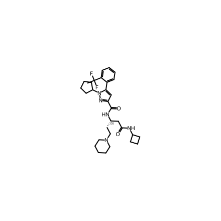 CC(F)(F)c1ccccc1-c1cc(C(=O)N[C@@H](CCN2CCCCC2)CC(=O)NC2CCC2)nn1C1CCCC1